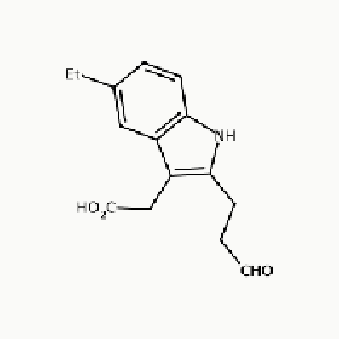 CCc1ccc2[nH]c(CCC=O)c(CC(=O)O)c2c1